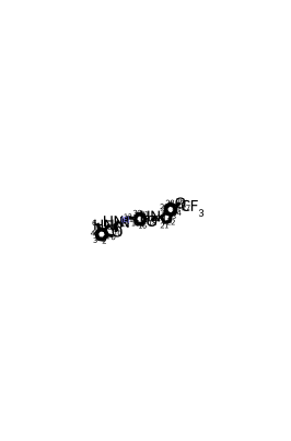 Cc1cccc(C)c1NC(=O)N/N=C/c1ccc(ONC2CCc3cc(OC(F)(F)F)ccc32)cc1